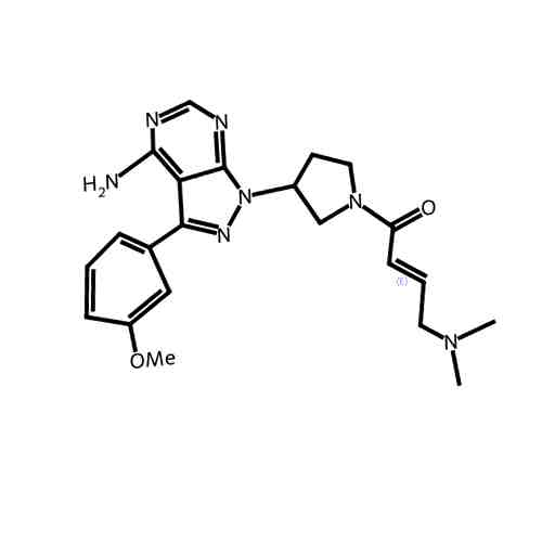 COc1cccc(-c2nn(C3CCN(C(=O)/C=C/CN(C)C)C3)c3ncnc(N)c23)c1